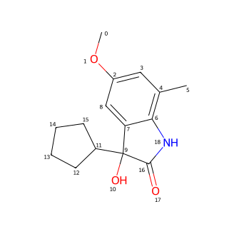 COc1cc(C)c2c(c1)C(O)(C1CCCC1)C(=O)N2